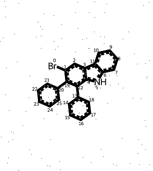 Brc1cc2c([nH]c3ccccc32)c(-c2ccccc2)c1-c1ccccc1